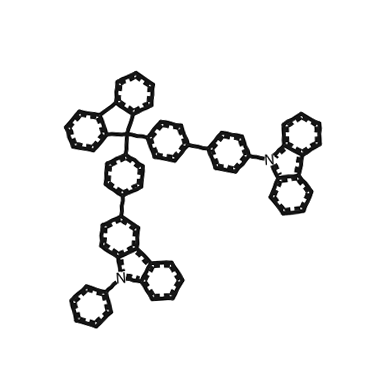 c1ccc(-n2c3ccccc3c3cc(-c4ccc(C5(c6ccc(-c7ccc(-n8c9ccccc9c9ccccc98)cc7)cc6)c6ccccc6-c6ccccc65)cc4)ccc32)cc1